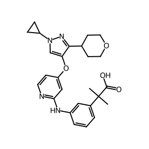 CC(C)(C(=O)O)c1cccc(Nc2cc(Oc3cn(C4CC4)nc3C3CCOCC3)ccn2)c1